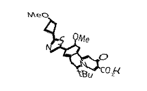 COc1cc2c(cc1-c1cnc(C3CC(OC)C3)s1)CC(C(C)(C)C)n1cc(C(=O)O)c(=O)cc1-2